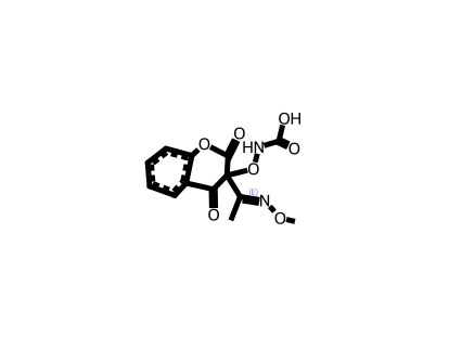 CO/N=C(\C)C1(ONC(=O)O)C(=O)Oc2ccccc2C1=O